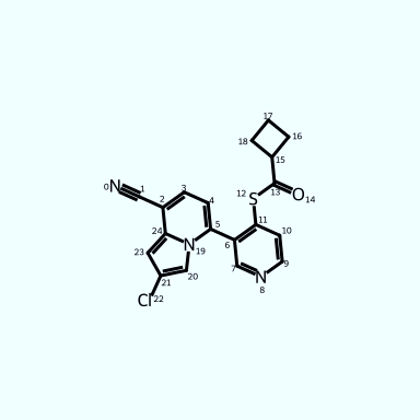 N#Cc1ccc(-c2cnccc2SC(=O)C2CCC2)n2cc(Cl)cc12